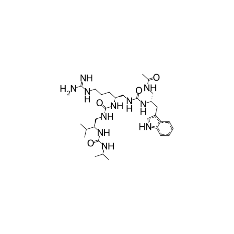 CC(=O)NC[C@H](Cc1c[nH]c2ccccc12)NC(=O)NC[C@H](CCCNC(=N)N)NC(=O)NC[C@@H](NC(=O)NC(C)C)C(C)C